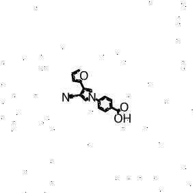 N#Cc1cn(-c2ccc(C(=O)O)cc2)cc1-c1ccco1